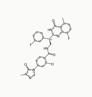 Cc1ccc(F)c2nc([C@@H](CNC(=O)c3ccc(-n4cnn(C)c4=O)cc3Cl)c3cccc(F)c3)[nH]c(=O)c12